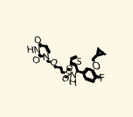 O=c1ccn(COCCCS(=O)(=O)NC(c2ccc(F)c(OCC3CC3)c2)c2cccs2)c(=O)[nH]1